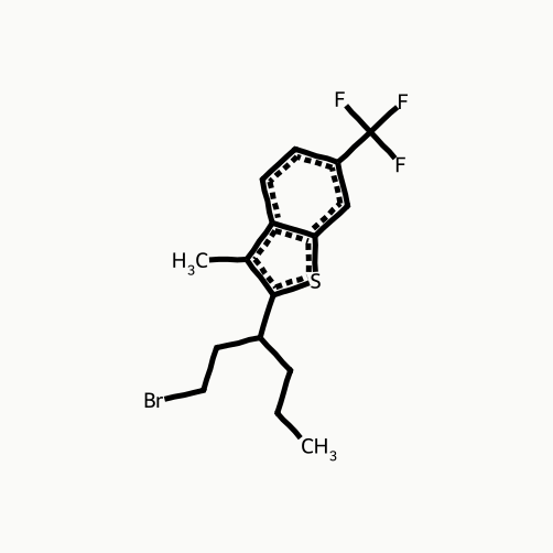 CCCC(CCBr)c1sc2cc(C(F)(F)F)ccc2c1C